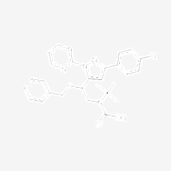 CC(C)(C)N(CC(OCc1ccccc1)c1cc(-c2ccc(Cl)cc2)nn1-c1ncccn1)C(=O)O